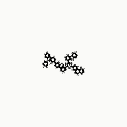 c1ccc(-n2c3ccccc3c3ccc(-c4ccc5c(c4)oc4c(-c6nc(-c7ccc8c(ccc9ccccc98)c7)nc(-c7cccc8c7oc7ccccc78)n6)cccc45)cc32)cc1